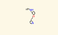 CCCNCc1cccc(OCCCc2cccnc2)c1